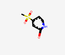 CS(=O)(=O)c1cc[nH]c(=O)c1